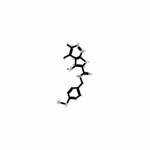 CCOc1ccc(CNC(=O)c2sc3nnc(C)c(C)c3c2N)cc1